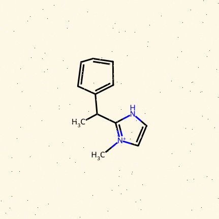 CC(c1ccccc1)c1[nH]cc[n+]1C